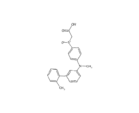 Cc1ccccc1-c1cccc(N(C)c2ccc([S+]([O-])CC(=O)O)cc2)c1